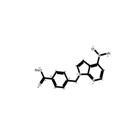 CCCN(CC)c1ccnc2c1ccn2Cc1ccc(C(=O)OC)cc1